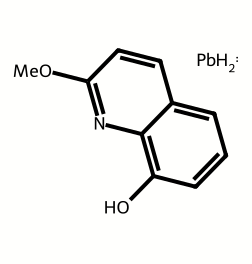 COc1ccc2cccc(O)c2n1.[PbH2]